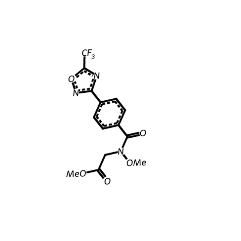 COC(=O)CN(OC)C(=O)c1ccc(-c2noc(C(F)(F)F)n2)cc1